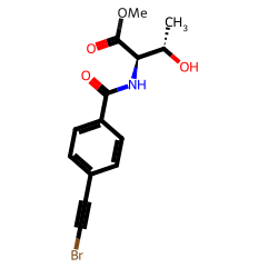 COC(=O)[C@H](NC(=O)c1ccc(C#CBr)cc1)[C@H](C)O